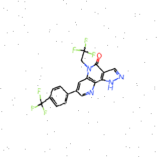 O=c1c2cn[nH]c2c2ncc(-c3ccc(C(F)(F)F)cc3)cc2n1CC(F)(F)F